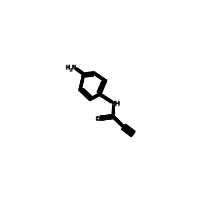 C#CC(=O)Nc1ccc(N)cc1